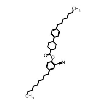 CCCCCCCCCc1ccc(OC(=O)C2CCC(c3ccc(CCCCCCC)cc3)CC2)c(C#N)c1